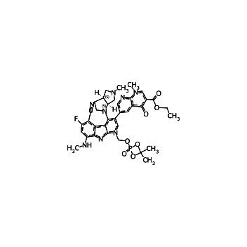 CCOC(=O)c1cn(C)c2ncc(-c3cn(COP4(=O)OC(C)(C)O4)c4nc5c(NC)cc(F)c(C#N)c5c-4c3N3CC[C@H]4CN(C)C[C@H]43)cc2c1=O